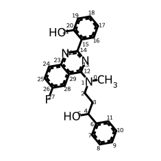 CN(CCC(O)c1ccccc1)c1nc(-c2ccccc2O)nc2ccc(F)cc12